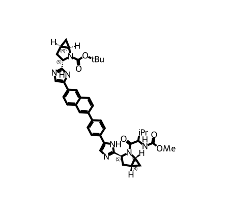 COC(=O)NC(C(=O)N1[C@@H]2C[C@@H]2C[C@H]1c1ncc(-c2ccc(-c3ccc4cc(-c5cnc([C@@H]6C[C@H]7C[C@H]7N6C(=O)OC(C)(C)C)[nH]5)ccc4c3)cc2)[nH]1)C(C)C